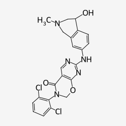 CN1Cc2cc(Nc3ncc4c(n3)OCN(c3c(Cl)cccc3Cl)C4=O)ccc2C(O)C1